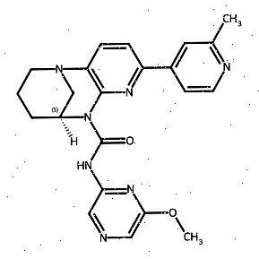 COc1cncc(NC(=O)N2c3nc(-c4ccnc(C)c4)ccc3N3CCC[C@H]2C3)n1